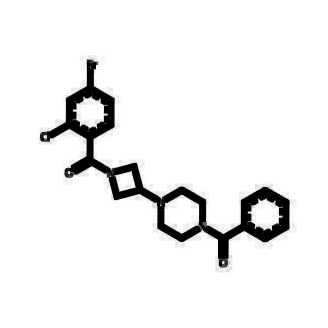 O=C(c1ccccc1)N1CCN(C2CN(C(=O)c3ccc(Br)cc3Cl)C2)CC1